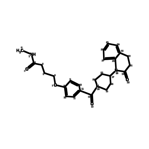 CNC(=O)CCCOc1ccc(C(=O)N2CCC(N3C(=O)CCc4ccccc43)CC2)cc1